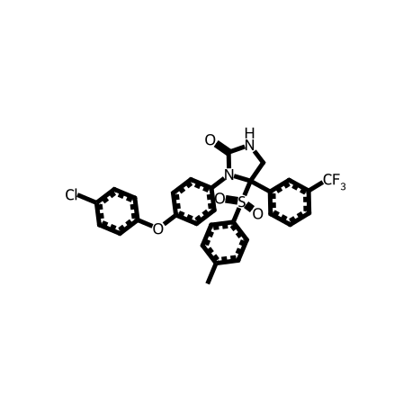 Cc1ccc(S(=O)(=O)C2(c3cccc(C(F)(F)F)c3)CNC(=O)N2c2ccc(Oc3ccc(Cl)cc3)cc2)cc1